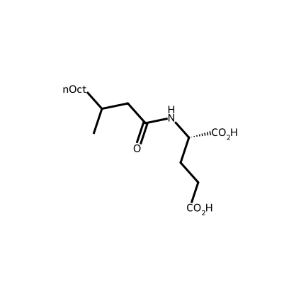 CCCCCCCCC(C)CC(=O)N[C@@H](CCC(=O)O)C(=O)O